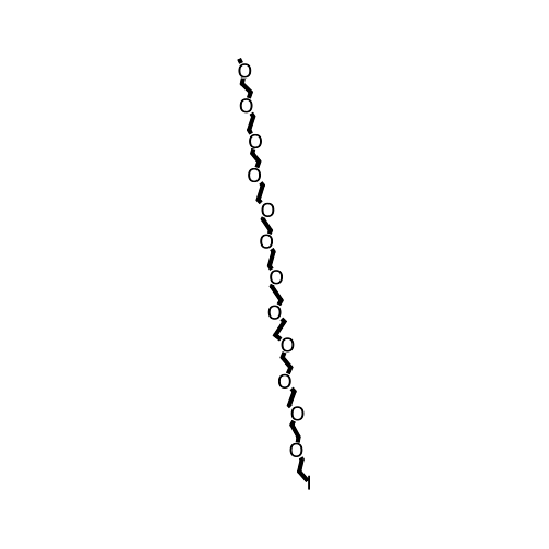 COCCOCCOCCOCCOCCOCCOCCOCCOCCOCCOCCOCCI